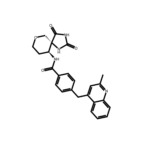 Cc1cc(Cc2ccc(C(=O)N[C@H]3CCOC[C@]34NC(=O)NC4=O)cc2)c2ccccc2n1